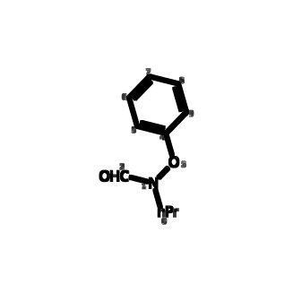 CCCN(C=O)Oc1ccccc1